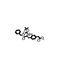 COC(=O)Cc1ccc(C[C@H](NC(=O)OC(C)(C)C)C(=O)OCc2ccccc2)cc1